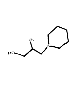 OCC(O)CN1CCCCC1